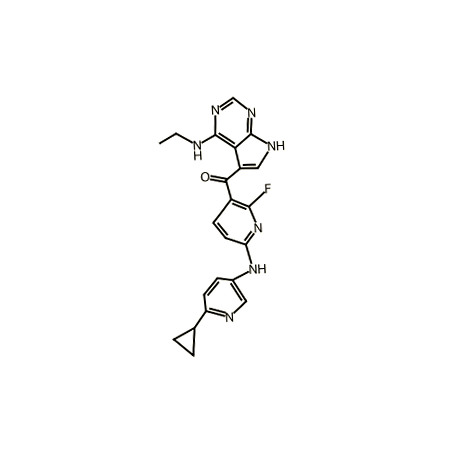 CCNc1ncnc2[nH]cc(C(=O)c3ccc(Nc4ccc(C5CC5)nc4)nc3F)c12